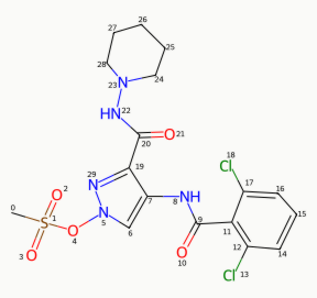 CS(=O)(=O)On1cc(NC(=O)c2c(Cl)cccc2Cl)c(C(=O)NN2CCCCC2)n1